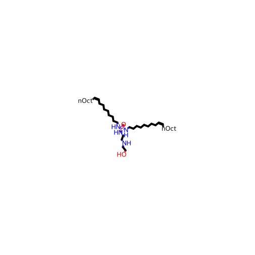 CCCCCCCC/C=C\CCCCCCCCNP(=O)(NCCCCCCCC/C=C\CCCCCCCC)NCCNCCO